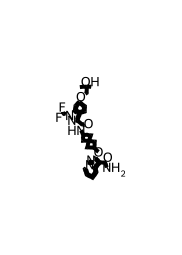 CC(C)(O)COc1ccc2c(C(=O)NC3CC4(C3)CC(Oc3nn5ccccc5c3C(N)=O)C4)nn(C(F)F)c2c1